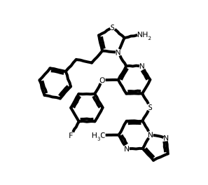 Cc1cc(Sc2cnc(N3C(CCc4ccccc4)=CSC3N)c(Oc3ccc(F)cc3)c2)n2nccc2n1